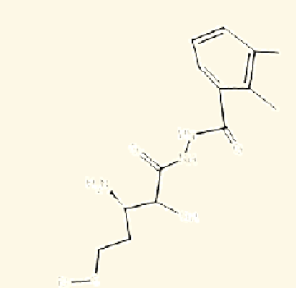 CCSCC[C@@H](N)C(O)C(=O)NNC(=O)c1cccc(C)c1C